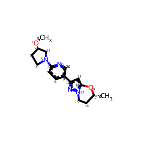 CO[C@H]1CCN(c2ccc(-c3cc4n(n3)CC[C@@H](C)O4)cn2)C1